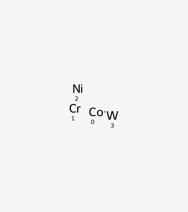 [Co].[Cr].[Ni].[W]